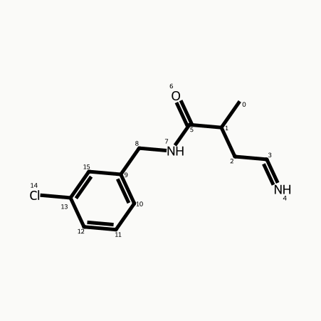 CC(CC=N)C(=O)NCc1cccc(Cl)c1